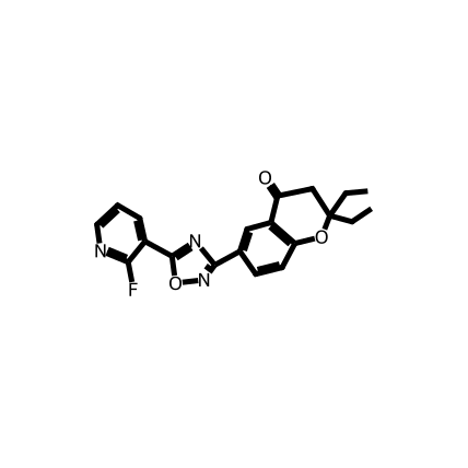 CCC1(CC)CC(=O)c2cc(-c3noc(-c4cccnc4F)n3)ccc2O1